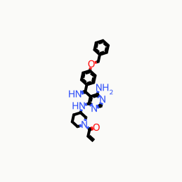 C=CC(=O)N1CCCC(Nc2ncnc(N)c2C(=N)c2ccc(OCc3ccccc3)cc2)C1